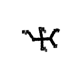 CCCC(Cl)C(C)(C)O[SiH3]